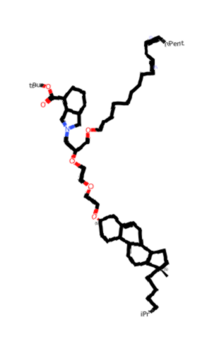 CCCCC/C=C\C/C=C\CCCCCCCCOCC(CN1CC2CCCC(C(=O)OC(C)(C)C)C2C1)OCCOCCO[C@H]1CCC2C(=CCC3C2CCC2C3CC[C@]2(C)CCCCC(C)C)C1